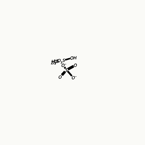 O=S(=O)(O)O.O=S(=O)([O-])[O-].S.[Zn+2]